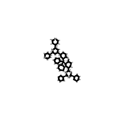 c1ccc(-c2nc(-c3ccccc3)nc(-c3ccc4c(c3)C(c3ccccc3)(c3ccccc3)c3cc(-c5cc(-c6ccncc6)nc(-c6ccncc6)c5)ccc3S4)n2)cc1